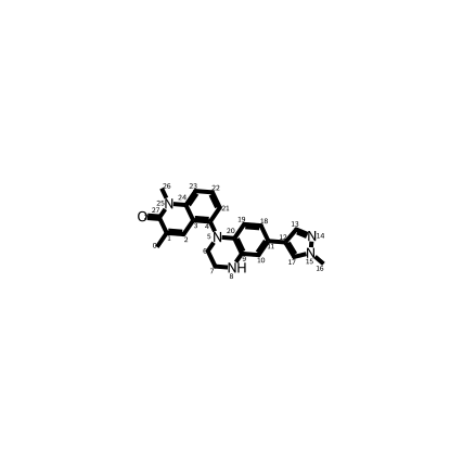 Cc1cc2c(N3CCNc4cc(-c5cnn(C)c5)ccc43)cccc2n(C)c1=O